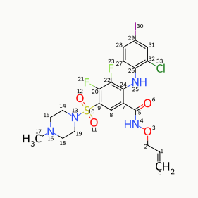 C=CCONC(=O)c1cc(S(=O)(=O)N2CCN(C)CC2)c(F)c(F)c1Nc1ccc(I)cc1Cl